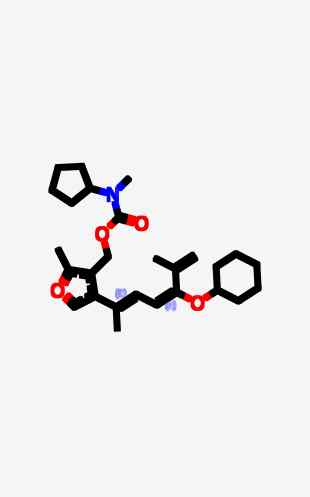 C=C(C)/C(=C\C=C(/C)c1coc(C)c1COC(=O)N(C)C1CCCC1)OC1CCCCC1